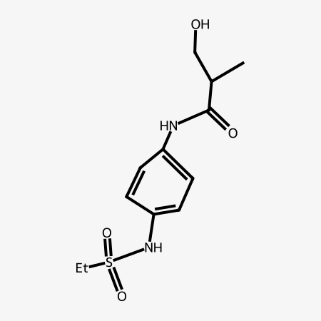 CCS(=O)(=O)Nc1ccc(NC(=O)C(C)CO)cc1